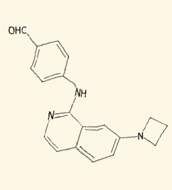 O=Cc1ccc(Nc2nccc3ccc(N4CCC4)cc23)cc1